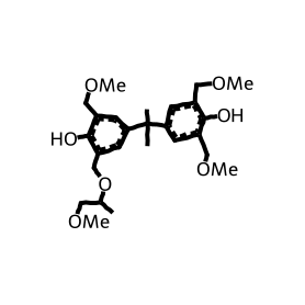 COCc1cc(C(C)(C)c2cc(COC)c(O)c(COC(C)COC)c2)cc(COC)c1O